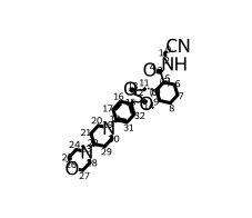 N#CCNC(=O)[C@H]1CCCC[C@@H]1CS(=O)(=O)c1ccc(N2CCC(N3CCOCC3)CC2)cc1